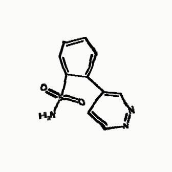 NS(=O)(=O)c1ccccc1-c1ccnnc1